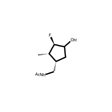 CC(=O)NC[C@H]1CC(O)[C@H](F)[C@H]1C